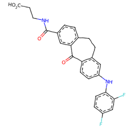 O=C(O)CCNC(=O)c1ccc2c(c1)C(=O)c1ccc(Nc3ccc(F)cc3F)cc1CC2